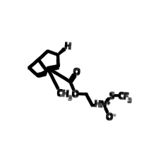 CC1(C(=O)OCC[NH+]([O-])SC(F)(F)F)C=C2CC3C[C@H](CC23)C1